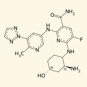 Cc1ncc(Nc2nc(NC3CC[C@@H](O)C[C@@H]3N)c(F)cc2C(N)=O)cc1-n1nccn1